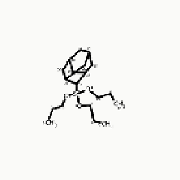 CCCO[Si](OCCC)(OCCC)C1C2CC3CC(C2)CC1C3